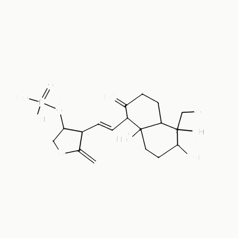 C=C1CCC2C(C)(CO)C(O)CCC2(C)C1/C=C/C1C(=O)OCC1OP(=O)(O)O